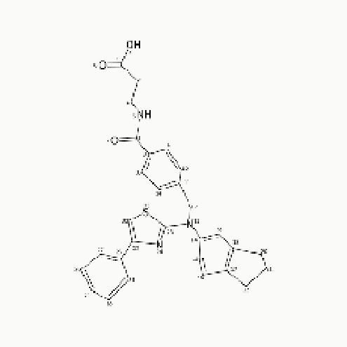 O=C(O)CCNC(=O)c1ccc(CN(c2ccc3c(c2)CCC3)c2nc(-c3ccccc3)cs2)cc1